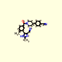 Cc1nc(C#N)c(-c2cc(C(=O)N3CCC(c4ccc(C#N)cc4)CC3)ccc2C)[nH]1